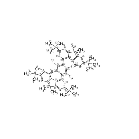 CC(C)(C)c1ccc2c(c1)C(C)(C)c1cc(C(C)(C)C)cc(-c3c(F)c(F)c(-c4cc(C(C)(C)C)cc5c4-c4ccc(C(C)(C)C)cc4C5(C)S)c(F)c3F)c1-2